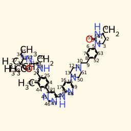 C=C1CCN(c2ccc(CCN3CCN(c4ccc(Nc5cc(-c6ccc(CNC(=C)/C(=N/C(=C\C)C(C)(C)C)OC)c(C)c6)ncn5)nc4)CC3)cc2)C(=O)N1